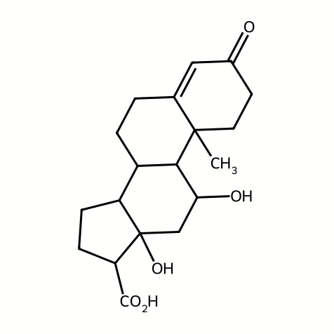 CC12CCC(=O)C=C1CCC1C2C(O)CC2(O)C(C(=O)O)CCC12